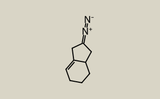 [N-]=[N+]=C1CC2=CCCCC2C1